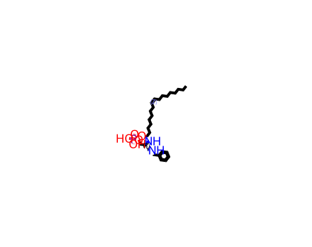 CCCCCCCC/C=C\CCCCCCCC(=O)N[C@H](CNCc1ccccc1)COP(=O)(O)O